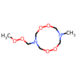 COOCN1COOCN(C)COOC1